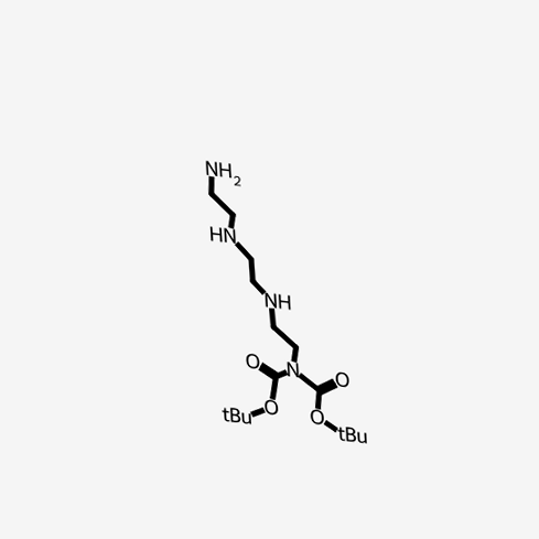 CC(C)(C)OC(=O)N(CCNCCNCCN)C(=O)OC(C)(C)C